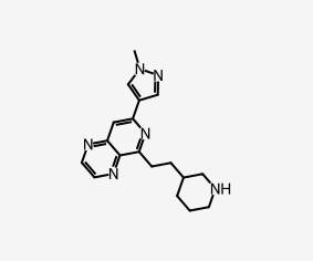 Cn1cc(-c2cc3nccnc3c(CCC3CCCNC3)n2)cn1